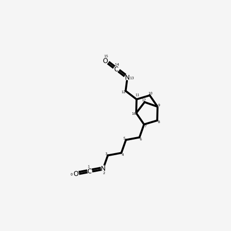 O=C=NCCCCC1CC2CC(CN=C=O)C1C2